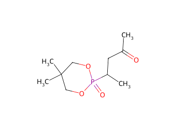 CC(=O)CC(C)P1(=O)OCC(C)(C)CO1